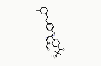 CC1CCCN(CCc2ccc(/N=C(\C=C/NC=O)N3CCN(C(=O)C(C)(C)N)CC3)cc2)C1